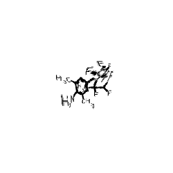 Cc1cc(S(F)(F)(F)(F)C(C)(F)C(F)F)cc(C)c1N